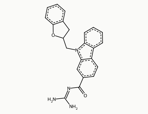 NC(N)=NC(=O)c1ccc2c3ccccc3n(CC3Cc4ccccc4O3)c2c1